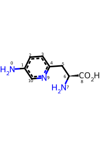 Nc1ccc(C[C@H](N)C(=O)O)nc1